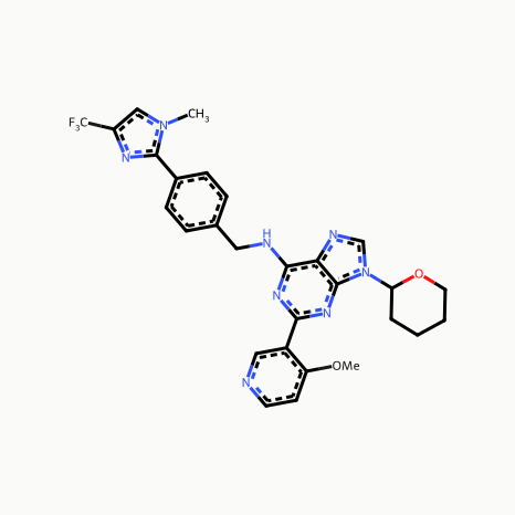 COc1ccncc1-c1nc(NCc2ccc(-c3nc(C(F)(F)F)cn3C)cc2)c2ncn(C3CCCCO3)c2n1